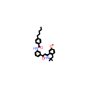 CCCCCc1ccc(C(=O)Nc2cccc(C(=O)/C=C3\NC(C)(C)Cc4ccc(OC)cc43)c2)cc1